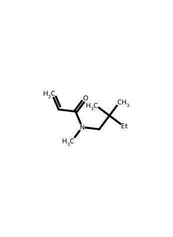 C=CC(=O)N(C)CC(C)(C)CC